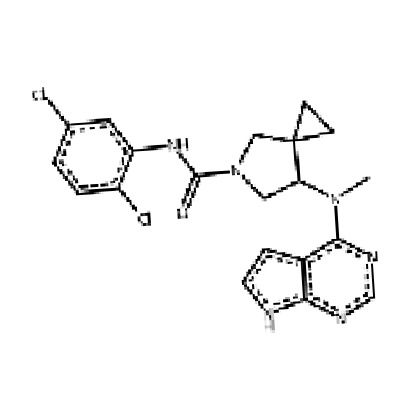 CN(c1ncnc2[nH]ccc12)C1CN(C(=O)Nc2cc(Cl)ccc2Cl)CC12CC2